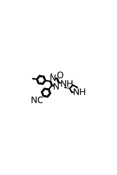 Cc1ccc(-c2c(-c3ccc(C#N)cc3)nc(NC[C@H]3CCNC3)c(=O)n2C)cc1